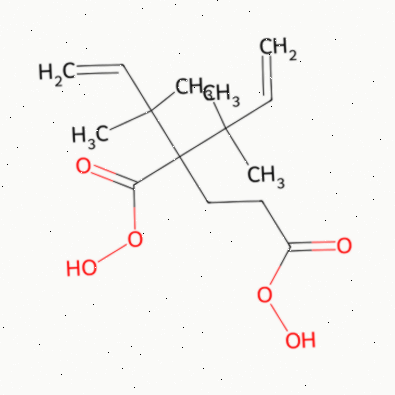 C=CC(C)(C)C(CCC(=O)OO)(C(=O)OO)C(C)(C)C=C